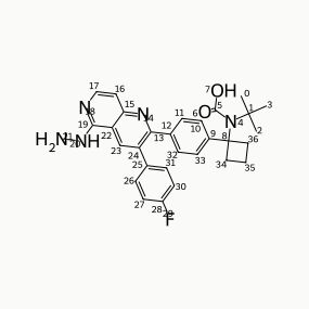 CC(C)(C)N(C(=O)O)C1(c2ccc(-c3nc4ccnc(NN)c4cc3-c3ccc(F)cc3)cc2)CCC1